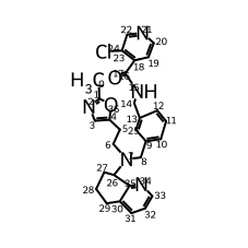 Cc1ncc(CCN(Cc2cccc(CNC(=O)c3ccncc3Cl)c2)C2CCCc3cccnc32)o1